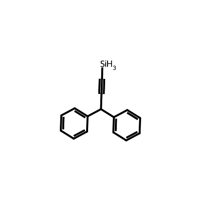 [SiH3]C#CC(c1ccccc1)c1ccccc1